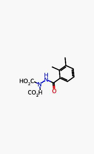 Cc1cccc(C(=O)NN(C(=O)O)C(=O)O)c1C